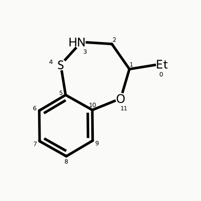 CCC1CNSc2ccccc2O1